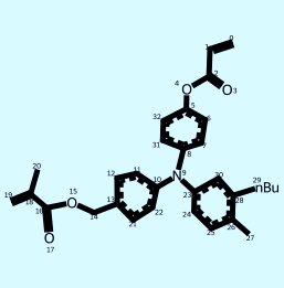 C=CC(=O)Oc1ccc(N(c2ccc(COC(=O)C(=C)C)cc2)c2ccc(C)c(CCCC)c2)cc1